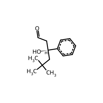 CC(C)(C)C[C@@](O)(CC=O)c1ccccc1